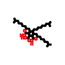 CC(C)CCCCCCCc1c(CCCCCCCC(C)C)c(C(=O)O)c(C(=O)O)c(C(=O)O)c1CCCCCCCC(C)C